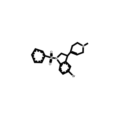 CN1CC=C(C2CN(S(=O)(=O)c3ccccc3)c3ccc(Br)cc32)CC1